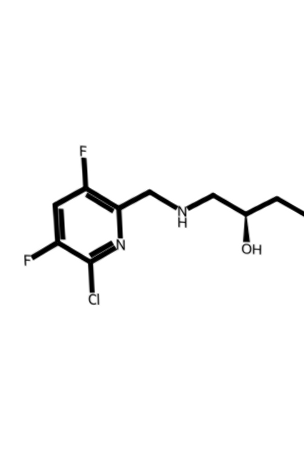 CC[C@@H](O)CNCc1nc(Cl)c(F)cc1F